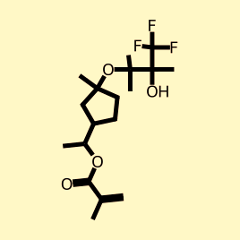 C=C(C)C(=O)OC(C)C1CCC(C)(OC(C)(C)C(C)(O)C(F)(F)F)C1